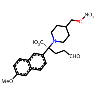 COc1ccc2cc([C@@](CCC=O)(C(=O)O)N3CCC(CO[N+](=O)[O-])CC3)ccc2c1